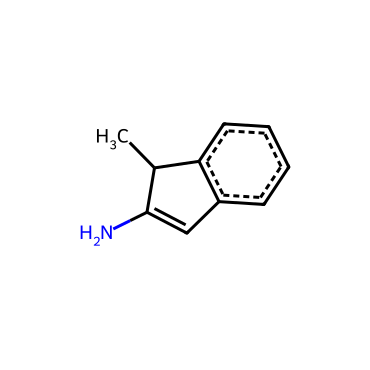 CC1C(N)=Cc2ccccc21